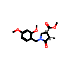 COC(=O)[C@H]1CN(Cc2ccc(OC)cc2OC)C(=O)[C@H]1C